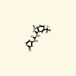 Cn1nc(NC(=O)Nc2ccnc(Cl)c2)c2cc(C(F)(F)F)ccc21